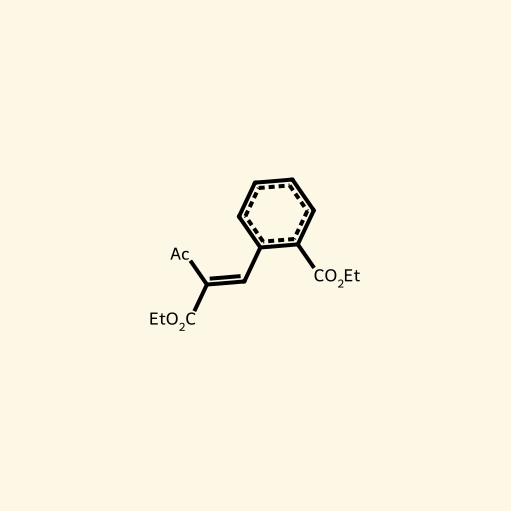 CCOC(=O)/C(=C/c1ccccc1C(=O)OCC)C(C)=O